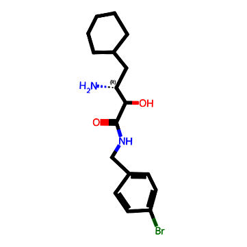 N[C@H](CC1CCCCC1)C(O)C(=O)NCc1ccc(Br)cc1